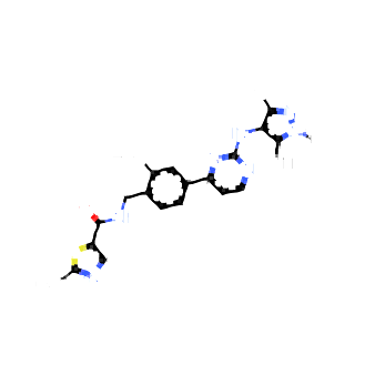 Cc1cc(-c2ccnc(Nc3c(C)nn(C)c3C)n2)ccc1CNC(=O)c1cnc(C(C)(C)C)s1